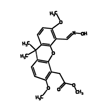 COC(=O)Cc1c(OC)ccc2c1Oc1c(ccc(OC)c1C=NO)C2(C)C